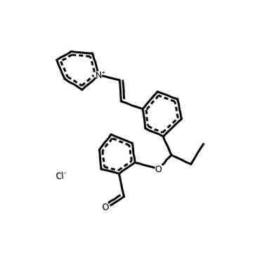 CCC(Oc1ccccc1C=O)c1cccc(C=C[n+]2ccccc2)c1.[Cl-]